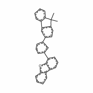 CC1(C)c2ccccc2-c2cc(-c3cccc(-c4cccc5c4oc4ccccc45)c3)ccc21